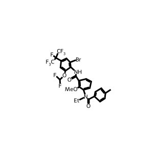 CCN(C(=O)c1ccc(C)cc1)c1cccc(C(=O)Nc2c(Br)cc(C(F)(C(F)(F)F)C(F)(F)F)cc2OC(F)F)c1OC